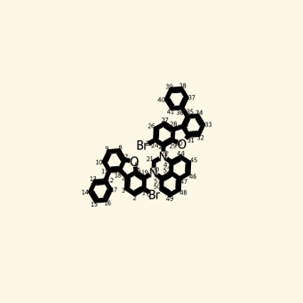 Brc1ccc2c(oc3cccc(-c4ccccc4)c32)c1N1CN(c2c(Br)ccc3c2oc2cccc(-c4ccccc4)c23)c2cccc3cccc1c23